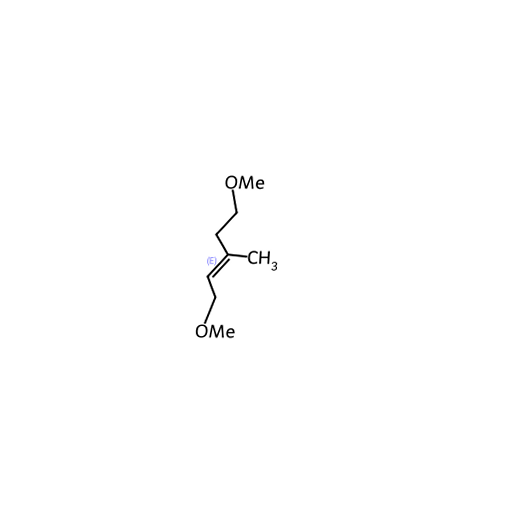 COC/C=C(\C)CCOC